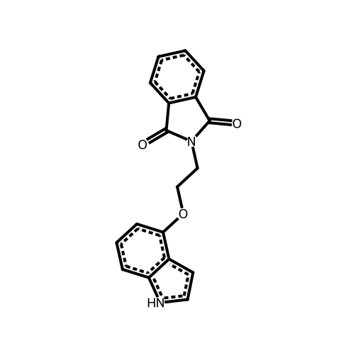 O=C1c2ccccc2C(=O)N1CCOc1cccc2[nH]ccc12